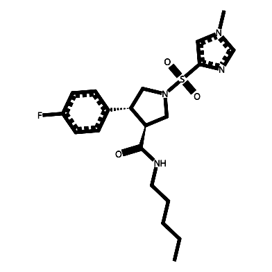 CCCCCNC(=O)[C@@H]1CN(S(=O)(=O)c2cn(C)cn2)C[C@H]1c1ccc(F)cc1